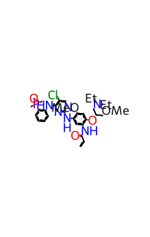 C=CC(=O)Nc1cc(Nc2ncc(Cl)c(Nc3ccccc3P(C)(C)=O)n2)c(OC)cc1OC(COC)CN(CC)CC